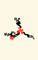 C=C(C)C(=O)O.CCCCOP(=O)(OCC)OCCCC